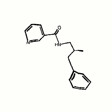 C[C@H](CNC(=O)c1cccnc1)Cc1ccccc1